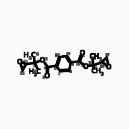 CC(C)(OC(=O)c1ccc(C(=O)OC(C)(C)C2CO2)cc1)C1CO1